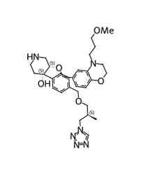 COCCCN1CCOc2ccc(CO[C@H]3CNCC[C@]3(O)c3ccc(COC[C@@H](C)Cn4cnnn4)cc3)cc21